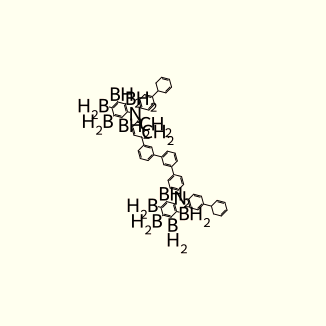 Bc1c(B)c(B)c(N(C(=C)/C=C\C(=C)c2cccc(-c3cccc(-c4ccc(N(c5ccc(C6C=CC=CC6)cc5)c5c(B)c(B)c(B)c(B)c5B)cc4)c3)c2)c2ccc(C3C=CC=CC3)cc2)c(B)c1B